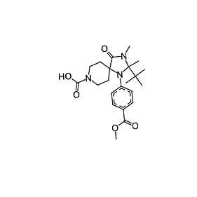 COC(=O)c1ccc(N2C3(CCN(C(=O)O)CC3)C(=O)N(C)C2(C)C(C)(C)C)cc1